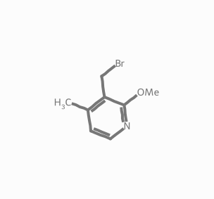 COc1nccc(C)c1CBr